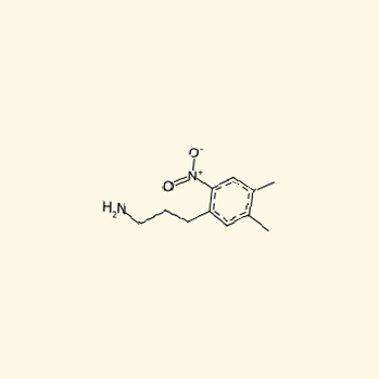 Cc1cc(CCCN)c([N+](=O)[O-])cc1C